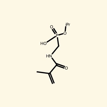 C=C(C)C(=O)NCP(=O)(O)OC(C)C